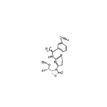 CC[C@@H](OC(C)(C)C)[C@H]1COC(=O)N1c1ccnc(N[C@@H](C)c2cccc(OCC(C)C)c2)n1